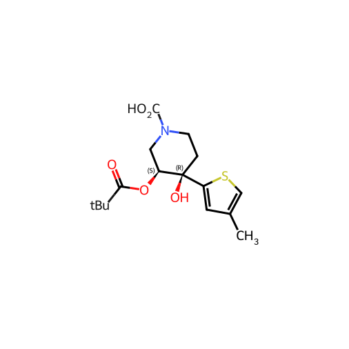 Cc1csc([C@@]2(O)CCN(C(=O)O)C[C@@H]2OC(=O)C(C)(C)C)c1